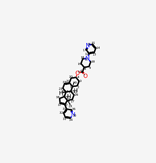 C[C@]12CC[C@H](OC(=O)C3CCN(c4cccnc4)CC3)CC1=CC[C@@H]1[C@@H]2CC[C@]2(C)C(c3cccnc3)=CC[C@@H]12